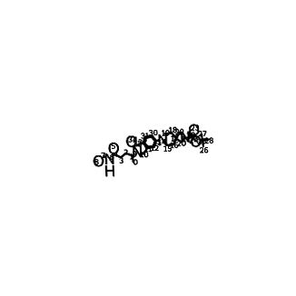 CC(CCC(=O)NC=O)N1Cc2cc(N3CCC4(CC3)CN(C(=O)OC(C)(C)C)C4)ccc2C1=O